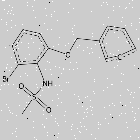 CS(=O)(=O)Nc1c(Br)[c]ccc1OCc1ccccc1